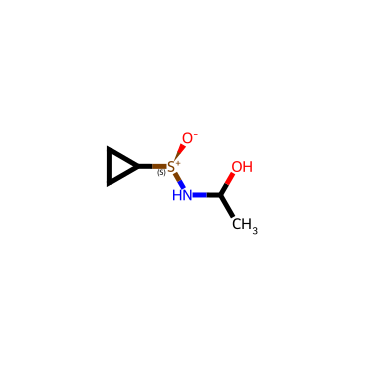 CC(O)N[S@+]([O-])C1CC1